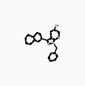 N#Cc1cnc2c(c1)c(-c1ccc3ccccc3c1)nn2Cc1ccccc1